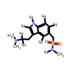 [2H]c1c(CS(=O)(=O)N([2H])C)c([2H])c2c(CC([2H])([2H])N(C)C)c([2H])n([2H])c2c1[2H]